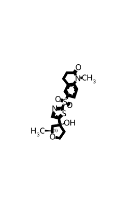 C[C@H]1C[C@@](O)(c2cnc(S(=O)(=O)c3ccc4c(c3)CCC(=O)N4C)s2)CCO1